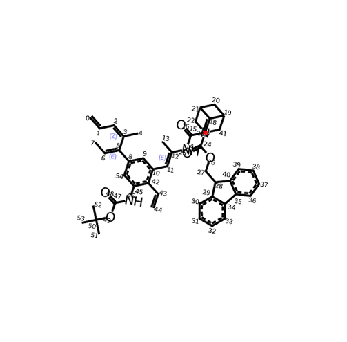 C=C/C=C(C)\C(=C/C)c1cc(/C=C(\C)NC(=O)C=C2C3CC2CN(C(=O)OCC2c4ccccc4-c4ccccc42)C3)c(C=C)c(NC(=O)OC(C)(C)C)c1